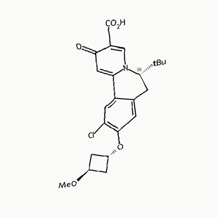 CO[C@H]1C[C@H](Oc2cc3c(cc2Cl)-c2cc(=O)c(C(=O)O)cn2[C@H](C(C)(C)C)C3)C1